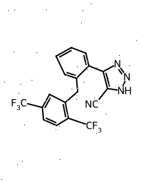 N#Cc1[nH]nnc1-c1ccccc1Cc1cc(C(F)(F)F)ccc1C(F)(F)F